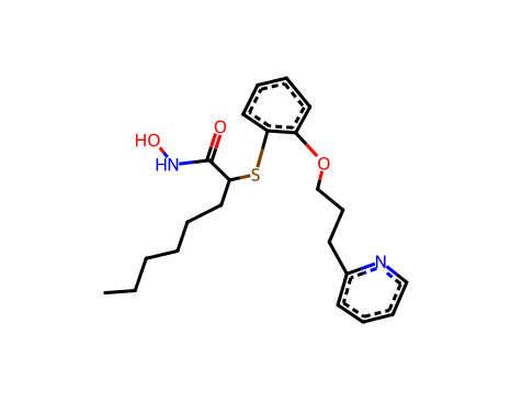 CCCCCCC(Sc1ccccc1OCCCc1ccccn1)C(=O)NO